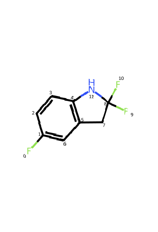 Fc1ccc2c(c1)CC(F)(F)N2